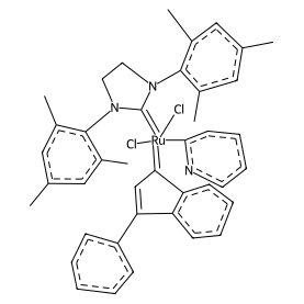 Cc1cc(C)c(N2CCN(c3c(C)cc(C)cc3C)[C]2=[Ru]([Cl])([Cl])(=[C]2C=C(c3ccccc3)c3ccccc32)[c]2ccccn2)c(C)c1